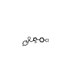 O=C(Cc1ccc(-c2ccc(Cl)cc2)s1)N1CCSCC1